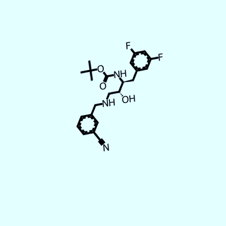 CC(C)(C)OC(=O)N[C@@H](Cc1cc(F)cc(F)c1)[C@H](O)CNCc1cccc(C#N)c1